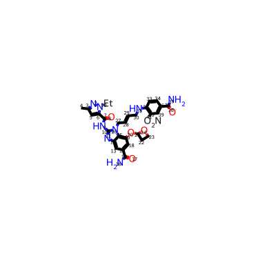 CCn1nc(C)cc1C(=O)Nc1nc2cc(C(N)=O)cc(OC3CCO3)c2n1C/C=C/CNc1ccc(C(N)=O)cc1[N+](=O)[O-]